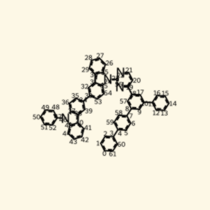 c1ccc(-c2ccc(-c3cc(-c4ccccc4)cc(-c4ccnc(-n5c6ccccc6c6cc(-c7ccc8c(c7)c7ccccc7n8-c7ccccc7)ccc65)n4)c3)cc2)cc1